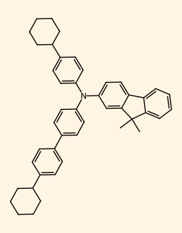 CC1(C)c2ccccc2-c2ccc(N(c3ccc(-c4ccc(C5CCCCC5)cc4)cc3)c3ccc(C4CCCCC4)cc3)cc21